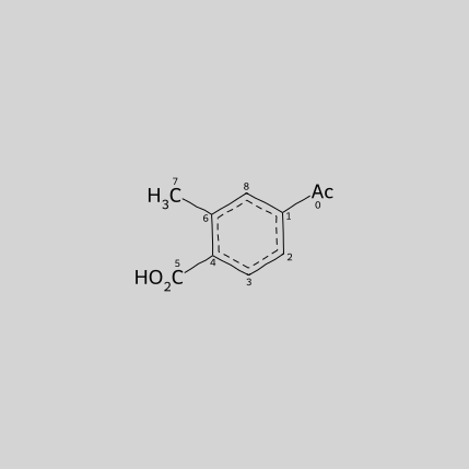 CC(=O)c1ccc(C(=O)O)c(C)c1